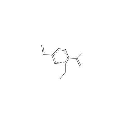 C=Cc1ccc(C(=C)C)c(CC)c1